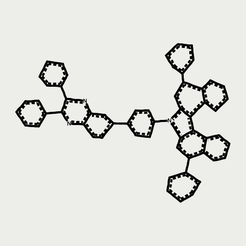 c1ccc(-c2nc3ccc(-c4ccc(-n5c6cc(-c7ccccc7)c7ccccc7c6c6c7ccccc7c(-c7ccccc7)cc65)cc4)cc3nc2-c2ccccc2)cc1